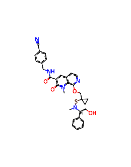 CN(SC1(COc2nccc3cc(C(=O)NCc4ccc(C#N)cc4)c(=O)n(C)c23)CC1)[C@@H](CO)c1ccccc1